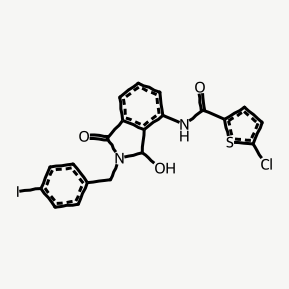 O=C(Nc1cccc2c1C(O)N(Cc1ccc(I)cc1)C2=O)c1ccc(Cl)s1